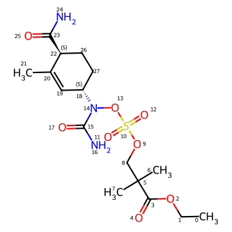 CCOC(=O)C(C)(C)COS(=O)(=O)ON(C(N)=O)[C@@H]1C=C(C)[C@@H](C(N)=O)CC1